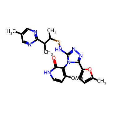 COc1cc[nH]c(=O)c1-n1c(NSC(C)C(C)c2ncc(C)cn2)nnc1-c1ccc(C)o1